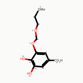 COCCOCOc1cc(C(=O)O)cc(O)c1O